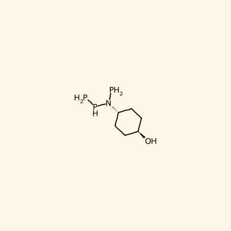 O[C@H]1CC[C@H](N(P)PP)CC1